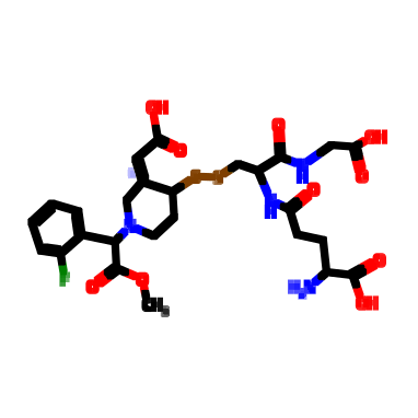 COC(=O)C(c1ccccc1F)N1CCC(SSCC(NC(=O)CCC(N)C(=O)O)C(=O)NCC(=O)O)/C(=C\C(=O)O)C1